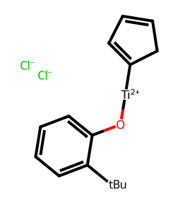 CC(C)(C)c1ccccc1[O][Ti+2][C]1=CC=CC1.[Cl-].[Cl-]